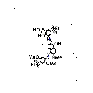 CCS(=O)(=O)c1cc(/N=N/c2ccc3c(/N=N/c4cc(OC)c(S(=O)(=O)CC)cc4OC)c(NC)ccc3c2O)c(O)c(S(=O)(=O)O)c1